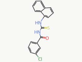 O=C(NC(=S)Nc1cccc2ccccc12)c1cccc(Cl)c1